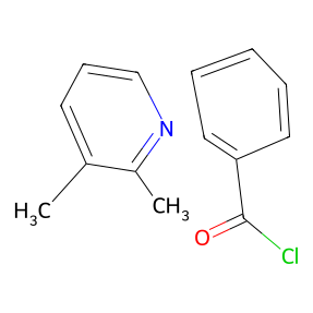 Cc1cccnc1C.O=C(Cl)c1ccccc1